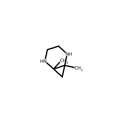 CC12CC1(C)NCCN2